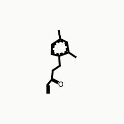 C=CC(=O)CCc1ccc(C)cc1C